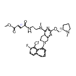 COC(=O)/C=C/C(=O)NCCN(C)c1nc(OC[C@@H]2CCCN2C)nc2c1CCN(c1cccc3ccc(F)c(Cl)c13)C2